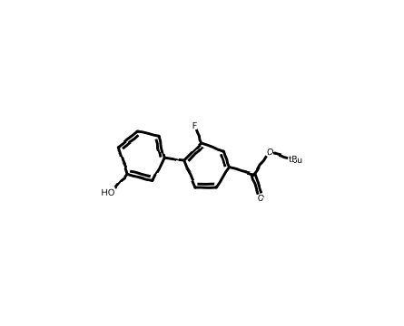 CC(C)(C)OC(=O)c1ccc(-c2cccc(O)c2)c(F)c1